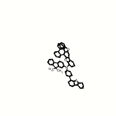 CC1(C)c2ccccc2-c2ccc(N(c3ccc(-c4cccc5c4sc4ccccc45)cc3)c3cccc4c3oc3c(-c5ccccc5-c5ccccc5)c5c(cc34)oc3ccccc35)cc21